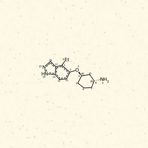 CCc1c(O[C@@H]2CCC[C@@H](N)C2)ccc2[nH]ncc12